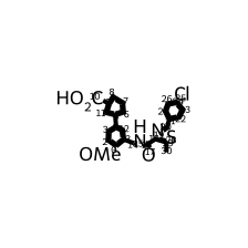 COc1ccc(-c2cccc(C(=O)O)c2)cc1CNC(=O)c1nc(-c2ccc(Cl)cc2)sc1C